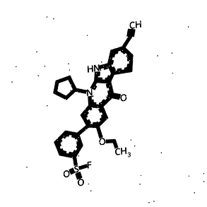 C#Cc1ccc2c(c1)[nH]c1c2c(=O)c2cc(OCC)c(-c3cccc(S(=O)(=O)F)c3)cc2n1C1CCCC1